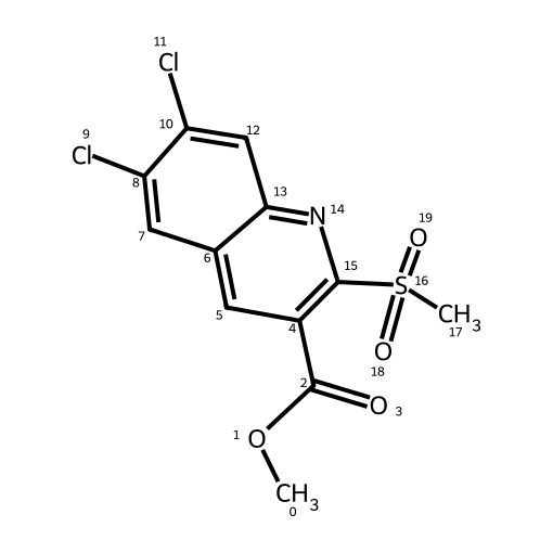 COC(=O)c1cc2cc(Cl)c(Cl)cc2nc1S(C)(=O)=O